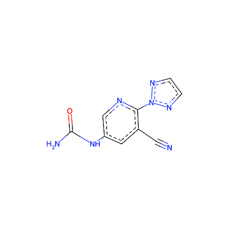 N#Cc1cc(NC(N)=O)cnc1-n1nccn1